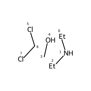 CCNCC.CO.ClCCl